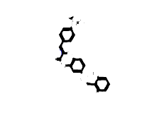 O=C1Nc2cc(S(=O)(=O)Cc3c(F)cccc3F)ccc2S/C1=C\c1ccc([N+](=O)[O-])cc1